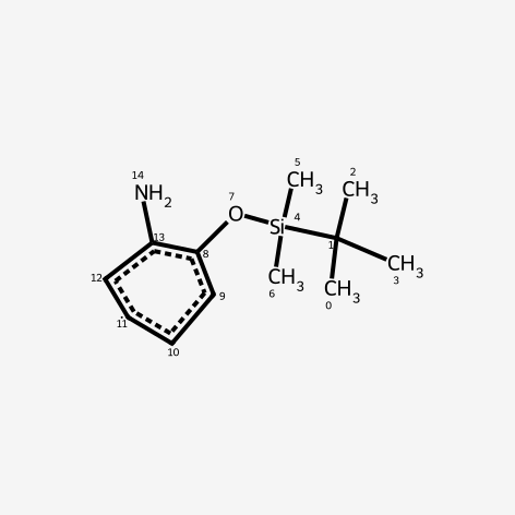 CC(C)(C)[Si](C)(C)Oc1cc[c]cc1N